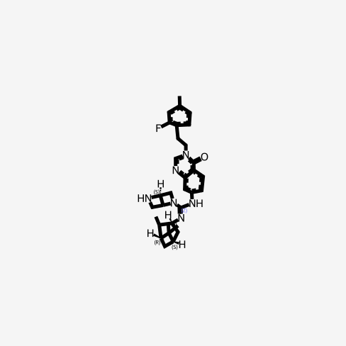 Cc1ccc(CCn2cnc3cc(N/C(=N/[C@H]4C[C@@H]5C[C@H](C4C)C5(C)C)N4C[C@@H]5NCC54)ccc3c2=O)c(F)c1